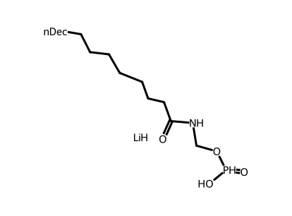 CCCCCCCCCCCCCCCCCC(=O)NCO[PH](=O)O.[LiH]